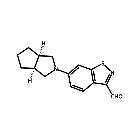 O=Cc1nsc2cc(N3C[C@H]4CCC[C@H]4C3)ccc12